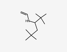 C=CNC(CC(C)(C)C)C(C)(C)C